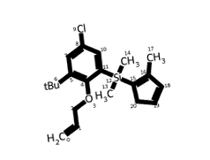 C=CCOc1c(C(C)(C)C)cc(Cl)cc1[Si](C)(C)C1=C(C)C=CC1